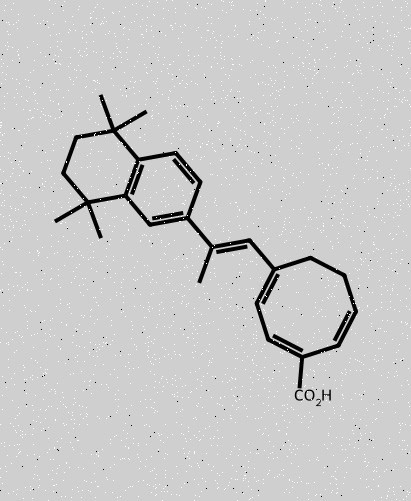 C\C(=C/C1=C/C=C(C(=O)O)\C=C/CC1)c1ccc2c(c1)C(C)(C)CCC2(C)C